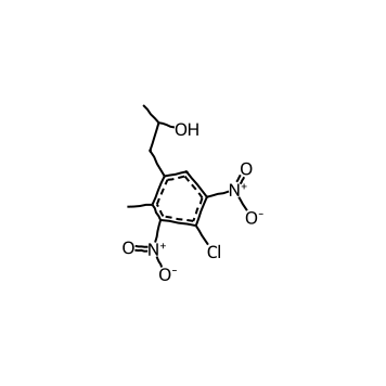 Cc1c(CC(C)O)cc([N+](=O)[O-])c(Cl)c1[N+](=O)[O-]